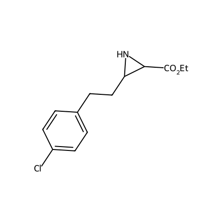 CCOC(=O)C1NC1CCc1ccc(Cl)cc1